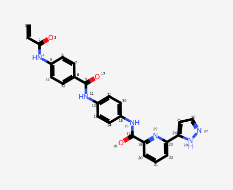 C=CC(=O)Nc1ccc(C(=O)Nc2ccc(NC(=O)c3cccc(-c4ccn[nH]4)n3)cc2)cc1